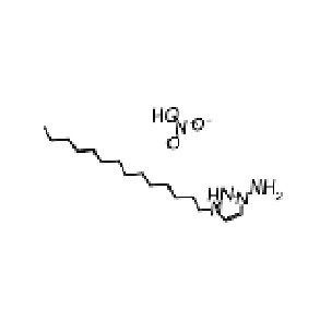 CCCCCCCCCCCCCCN1C=CN(N)N1.O=[N+]([O-])O